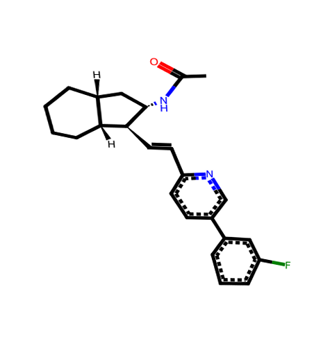 CC(=O)N[C@H]1C[C@H]2CCCC[C@H]2[C@@H]1C=Cc1ccc(-c2cccc(F)c2)cn1